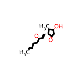 CCCCCC(=O)/C=C/[C@H]1C(=O)C[C@H](O)[C@@H]1C